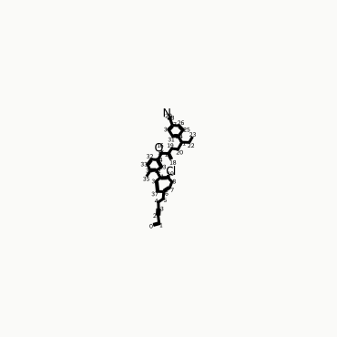 C=CC#CCCC1=CCC(Cl)=C(c2cc(C(=O)C(=C)CCC(CC)c3ccc(C#N)cc3)ccc2C)C=C1